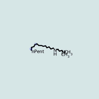 CCCCC/C=C\C/C=C\CCCCCCCCNCCCN(C)C